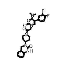 CN(C)C(=O)/C(=C\N(C=O)CC(=O)N1CCC(N2Cc3ccccc3NC2=O)CC1)c1ccc(F)c(F)c1